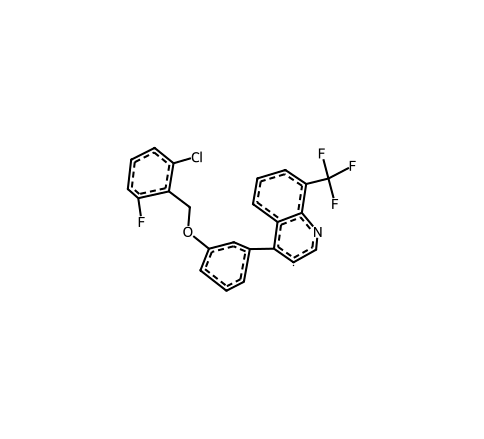 Fc1cccc(Cl)c1COc1cccc(-c2[c]cnc3c(C(F)(F)F)cccc23)c1